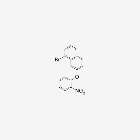 O=[N+]([O-])c1ccccc1Oc1ccc2cccc(Br)c2c1